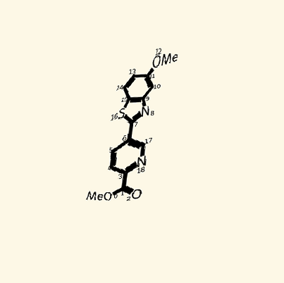 COC(=O)c1ccc(-c2nc3cc(OC)ccc3s2)cn1